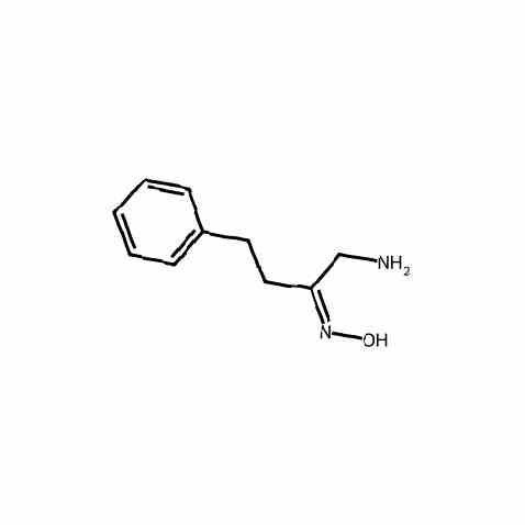 NC/C(CCc1ccccc1)=N\O